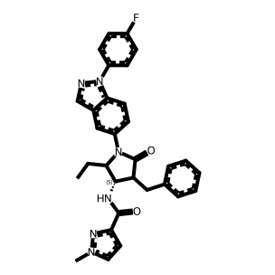 CCC1[C@@H](NC(=O)c2ccn(C)n2)C(Cc2ccccc2)C(=O)N1c1ccc2c(cnn2-c2ccc(F)cc2)c1